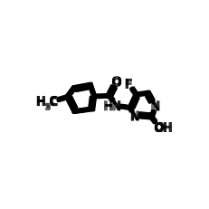 Cc1ccc(C(=O)Nc2nc(O)ncc2F)cc1